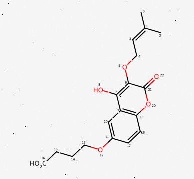 CC(C)=CCOc1c(O)c2cc(OCCCC(=O)O)ccc2oc1=O